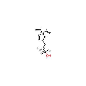 C=C[Si](C=C)(C=C)CCC[SiH2]C(C)(C)O